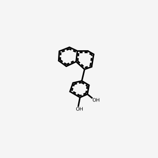 Oc1ccc(-c2cccc3ccccc23)cc1O